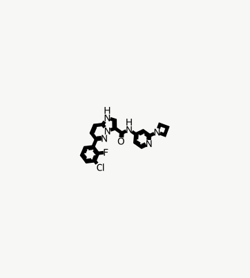 O=C(Nc1ccnc(N2CCC2)c1)C1=CNC2C=CC(c3cccc(Cl)c3F)=NN12